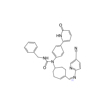 N#Cc1ccc(/N=C\C2=CCCC(N(C(=O)NCc3ccccc3)c3ccc(-c4cccc(=O)[nH]4)cc3)CC2)nc1